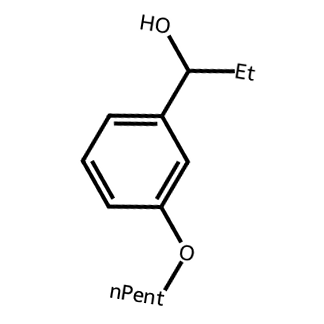 CCCCCOc1cccc(C(O)CC)c1